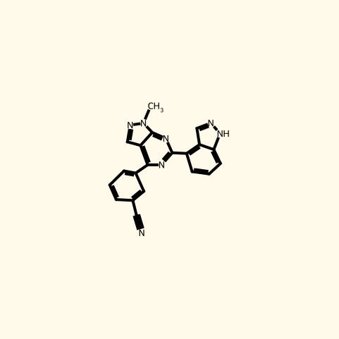 Cn1ncc2c(-c3cccc(C#N)c3)nc(-c3cccc4[nH]ncc34)nc21